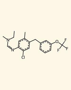 CCN(C)/C=N\c1cc(C)c(Cc2cccc(OC(F)(F)F)c2)cc1Cl